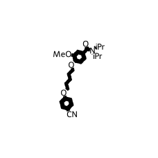 COc1cc(C(=O)N(C(C)C)C(C)C)ccc1OCCCCCOc1ccc(C#N)cc1